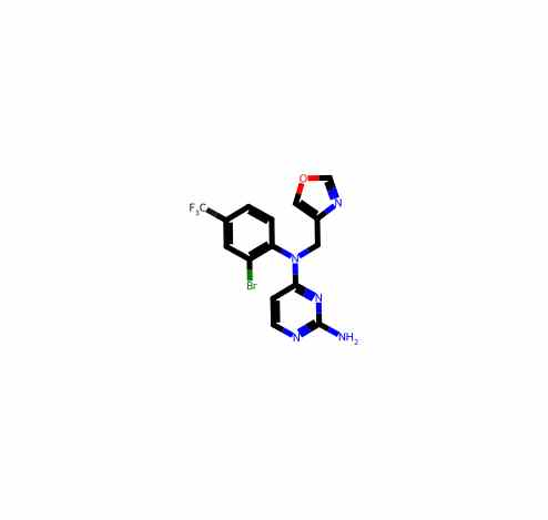 Nc1nccc(N(Cc2cocn2)c2ccc(C(F)(F)F)cc2Br)n1